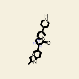 Cc1cn2cc(C3=C\C(=O)N4C=C(C5=CCNCC5)C=C\C4=C/C=C/3)ccc2n1